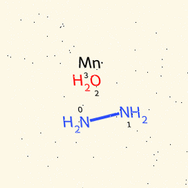 NN.O.[Mn]